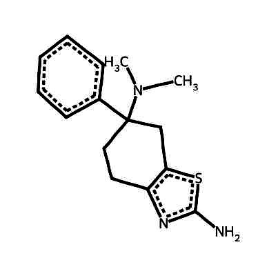 CN(C)C1(c2ccccc2)CCc2nc(N)sc2C1